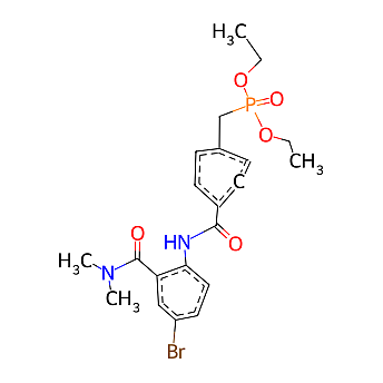 CCOP(=O)(Cc1ccc(C(=O)Nc2ccc(Br)cc2C(=O)N(C)C)cc1)OCC